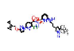 CC1(C)CC(CCCNc2cccc(S(=O)(=O)NC(=O)c3ccc(-n4ccc(OCC5C6(CC6)C56CC6)n4)nc3Cl)n2)CN1